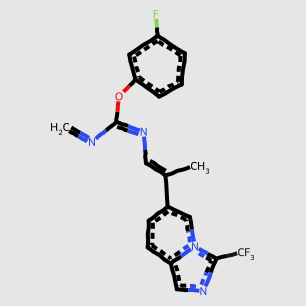 C=N/C(=N\C=C(/C)c1ccc2cnc(C(F)(F)F)n2c1)Oc1cccc(F)c1